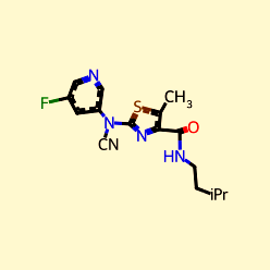 Cc1sc(N(C#N)c2cncc(F)c2)nc1C(=O)NCCC(C)C